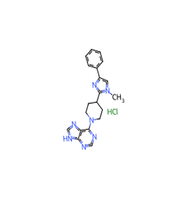 Cl.Cn1cc(-c2ccccc2)nc1C1CCN(c2ncnc3[nH]cnc23)CC1